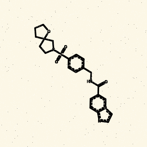 O=C(NCc1ccc(S(=O)(=O)N2CCC3(CCCO3)C2)cc1)c1ccc2nccn2c1